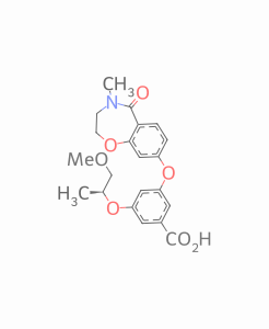 COC[C@H](C)Oc1cc(Oc2ccc3c(c2)OCCN(C)C3=O)cc(C(=O)O)c1